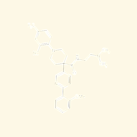 COc1ccccc1-c1ccc(C2(C(=O)NCCN(C)C)CCN(c3ccc(C(F)(F)F)cc3C#N)CC2)cn1